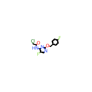 O=C(CCl)Nc1nc(OCc2ccc(F)cc2)ncc1F